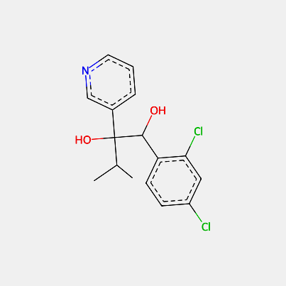 CC(C)C(O)(c1cccnc1)C(O)c1ccc(Cl)cc1Cl